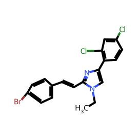 CCn1cc(-c2ccc(Cl)cc2Cl)nc1C=Cc1ccc(Br)cc1